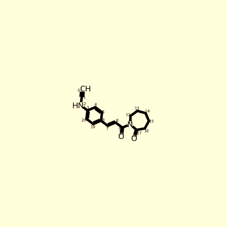 C#CNc1ccc(/C=C/C(=O)N2CCCCCC2=O)cc1